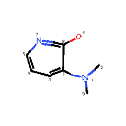 CN(C)c1cccnc1[O]